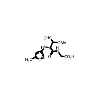 COC(C=O)[C@H](Nc1cc(C)on1)C(=O)NCC(=O)O